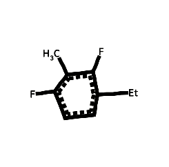 CCc1ccc(F)c(C)c1F